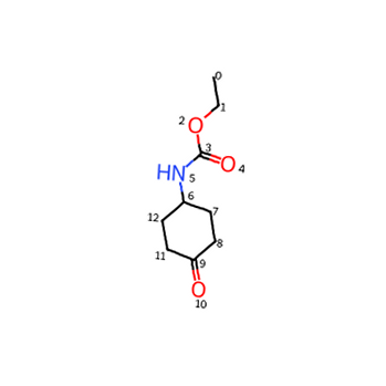 CCOC(=O)NC1CCC(=O)CC1